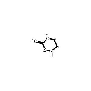 O=C1OCCNS1